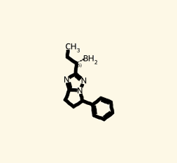 B[C@@H](CC)c1nc2n(n1)C(c1ccccc1)CC2